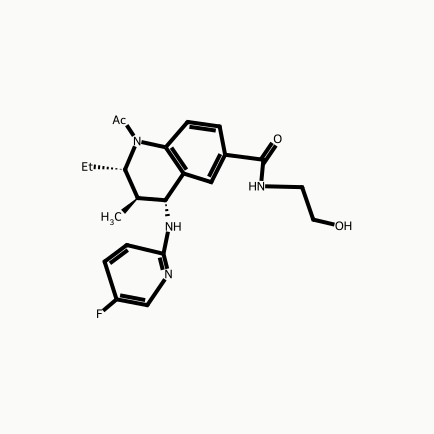 CC[C@H]1[C@H](C)[C@@H](Nc2ccc(F)cn2)c2cc(C(=O)NCCO)ccc2N1C(C)=O